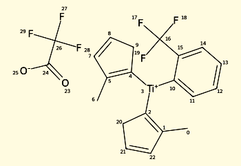 CC1=[C]([Ti+]([C]2=C(C)C=CC2)[c]2ccccc2C(F)(F)F)CC=C1.O=C([O-])C(F)(F)F